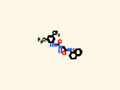 O=C(CNC(=O)Nc1cc(C(F)(F)F)cc(C(F)(F)F)c1)NC1CCCc2ccccc21